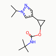 CC(C)n1cc(C2CC2OC(=O)NC(C)(C)C)cn1